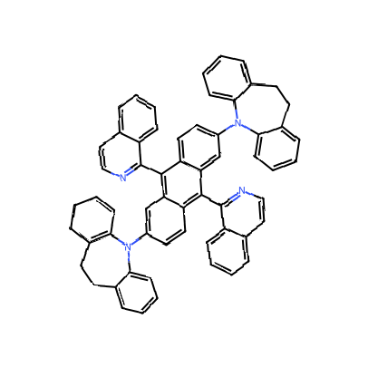 C1=CC2=C(CC1)CCc1ccccc1N2c1ccc2c(-c3nccc4ccccc34)c3cc(N4c5ccccc5CCc5ccccc54)ccc3c(-c3nccc4ccccc34)c2c1